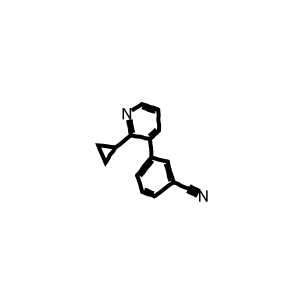 N#Cc1cccc(-c2cccnc2C2CC2)c1